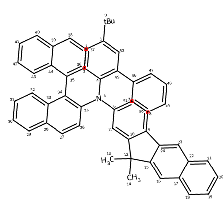 CC(C)(C)c1ccc(N(c2ccc3c(c2)C(C)(C)c2cc4ccccc4cc2-3)c2ccc3ccccc3c2-c2cccc3ccccc23)c(-c2ccccc2)c1